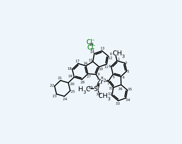 Cc1ccc2c(c1)[C]([Zr+2]([C]1=C3C=CC=CC3c3ccc(C4CCCCC4)cc31)=[Si](C)C)=C1C=CC=CC12.[Cl-].[Cl-]